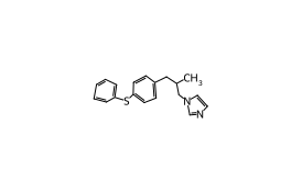 CC(Cc1ccc(Sc2ccccc2)cc1)Cn1ccnc1